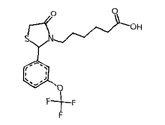 O=C(O)CCCCCN1C(=O)CSC1c1cccc(OC(F)(F)F)c1